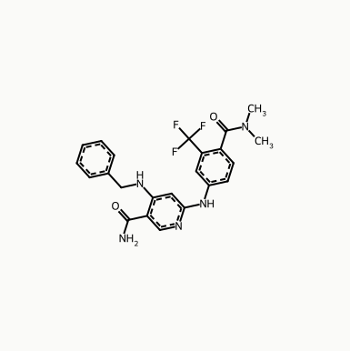 CN(C)C(=O)c1ccc(Nc2cc(NCc3ccccc3)c(C(N)=O)cn2)cc1C(F)(F)F